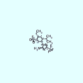 CCc1cc(C(C)C)c(-n2nc(C(F)(F)F)nc2N)cc1S(=O)(=O)F